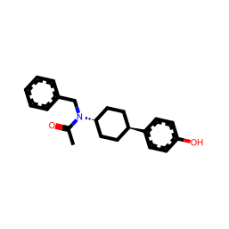 CC(=O)N(Cc1ccccc1)[C@H]1CC[C@H](c2ccc(O)cc2)CC1